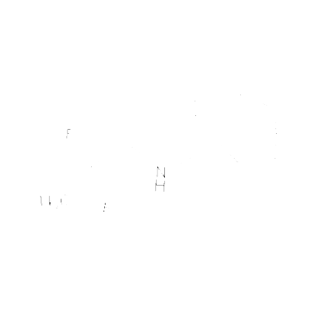 CC(F)(F)CNC1CC2CCC1C2